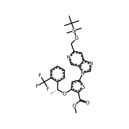 COC(=O)c1sc(-n2cnc3cc(CO[Si](C)(C)C(C)(C)C)ncc32)cc1O[C@H](C)c1ccccc1C(F)(F)F